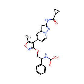 Cc1onc(OCC(NC(=O)O)c2ccccc2)c1-c1ccn2nc(NC(=O)C3CC3)cc2c1